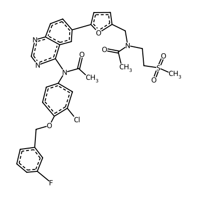 CC(=O)N(CCS(C)(=O)=O)Cc1ccc(-c2ccc3ncnc(N(C(C)=O)c4ccc(OCc5cccc(F)c5)c(Cl)c4)c3c2)o1